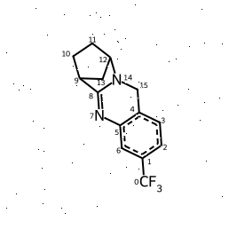 FC(F)(F)c1ccc2c(c1)N=C1C3CCC(C3)N1C2